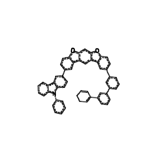 C1=CC(c2cccc(-c3cccc(-c4ccc5oc6cc7oc8ccc(-c9ccc%10c(c9)c9ccccc9n%10-c9ccccc9)cc8c7cc6c5c4)c3)c2)=CCC1